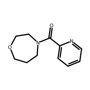 O=C(c1ccccn1)N1CCCOCC1